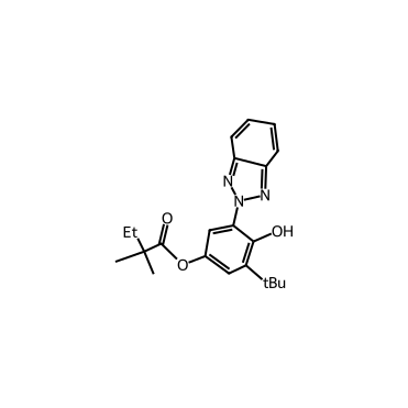 CCC(C)(C)C(=O)Oc1cc(-n2nc3ccccc3n2)c(O)c(C(C)(C)C)c1